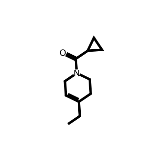 CCC1=CCN(C(=O)C2CC2)CC1